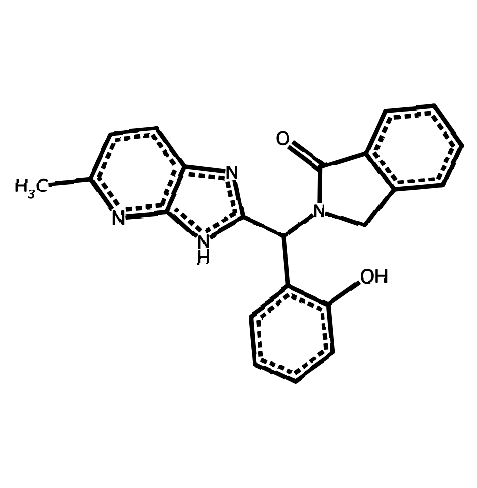 Cc1ccc2nc(C(c3ccccc3O)N3Cc4ccccc4C3=O)[nH]c2n1